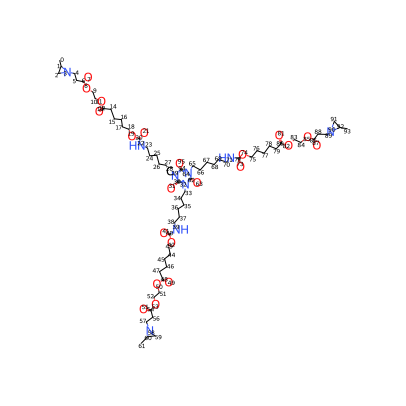 CC1CN1CCC(=O)OCCOC(=O)CCCCCOC(=O)NCCCCCCn1c(=O)n(CCCCCCNC(=O)OCCCCCC(=O)OCCOC(=O)CCN2CC2C)c(=O)n(CCCCCCNC(=O)OCCCCCC(=O)OCCOC(=O)CCN2CC2C)c1=O